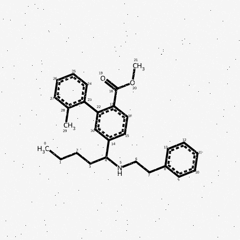 CCCCC(NCCc1ccccc1)c1ccc(C(=O)OC)c(-c2ccccc2C)c1